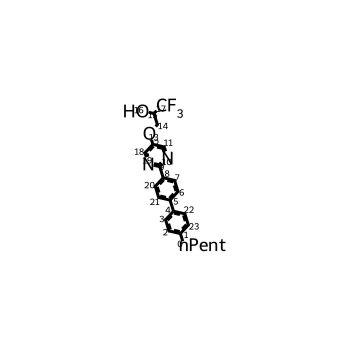 CCCCCc1ccc(-c2ccc(-c3ncc(OCC(O)C(F)(F)F)cn3)cc2)cc1